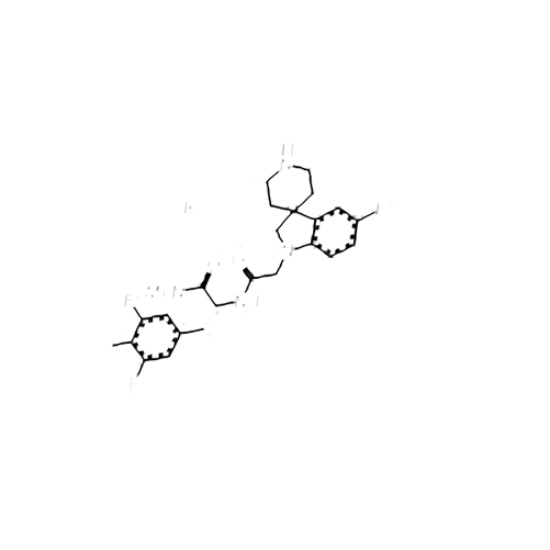 CNC(=O)[C@@H](Cc1cc(F)c(F)c(F)c1)NC(=O)CN1CC2(CCNCC2)c2cc(F)ccc21.Cl